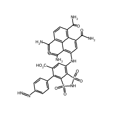 N=Nc1ccc(-c2c(C(=O)O)cc(Nc3cc(C(N)=O)c4c(C(N)=O)ccc(C(N)=O)c4c3C(N)=O)c3c2S(=O)(=O)NS3(=O)=O)cc1